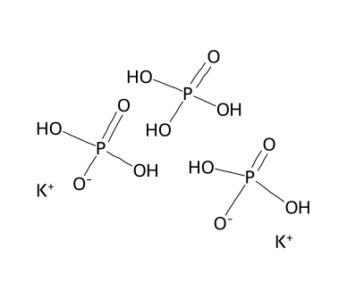 O=P(O)(O)O.O=P([O-])(O)O.O=P([O-])(O)O.[K+].[K+]